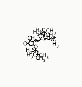 C=C1C(=O)CC(O[SiH2]CC(C)(C)C)C1C=C[C@@H](CCCCC)O[Si](C)(C)C(C)(C)C